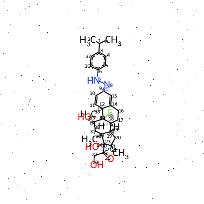 CC(C)c1ccc(N/N=C2\C=C[C@@]3(C)C(=C2)CC[C@H]2[C@@H]4C[C@@H](C)[C@](O)(C(=O)CO)[C@@]4(C)C[C@H](O)[C@@]23F)cc1